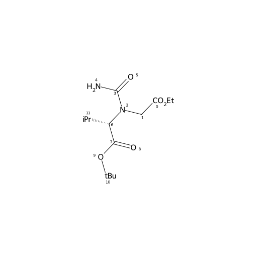 CCOC(=O)CN(C(N)=O)[C@H](C(=O)OC(C)(C)C)C(C)C